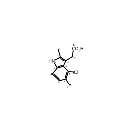 Cc1[nH]c2ccc(F)c(Cl)c2c1CC(=O)O